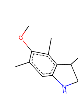 COc1c(C)cc2c(c1C)C(C)CN2